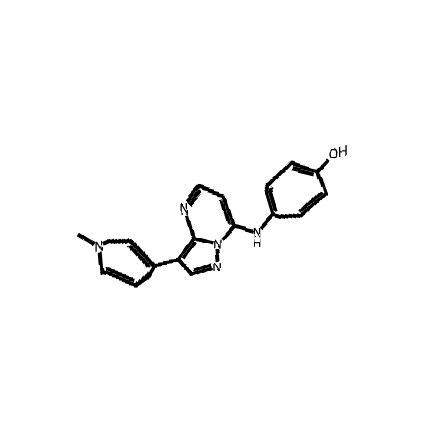 Cn1ccc(-c2cnn3c(Nc4ccc(O)cc4)ccnc23)c1